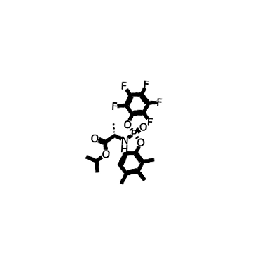 Cc1ccc(OP(=O)(N[C@@H](C)C(=O)OC(C)C)Oc2c(F)c(F)c(F)c(F)c2F)c(C)c1C